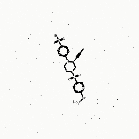 CC#C[C@H]1CN(S(=O)(=O)c2ccc(NC(=O)O)nc2)CCN1c1ccc(S(=O)(=O)CC)cc1